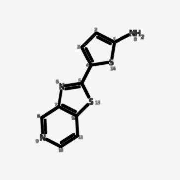 Nc1ccc(-c2nc3cnccc3s2)s1